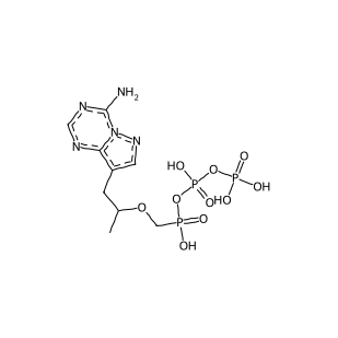 CC(Cc1cnn2c(N)ncnc12)OCP(=O)(O)OP(=O)(O)OP(=O)(O)O